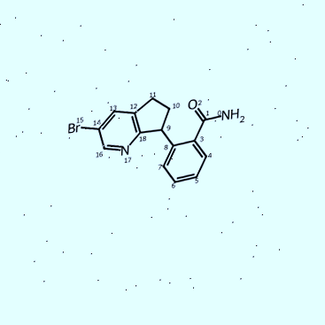 NC(=O)c1ccccc1C1CCc2cc(Br)cnc21